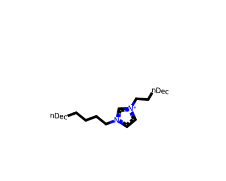 CCCCCCCCCCCCCCn1cc[n+](CCCCCCCCCCCC)c1